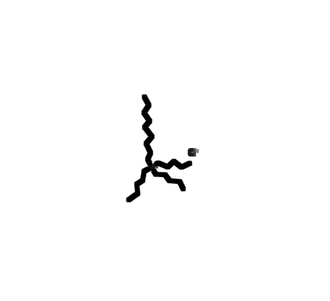 CCCCCCCCC[N+](CCCCC)(CCCCC)CCCCC.[Cl-]